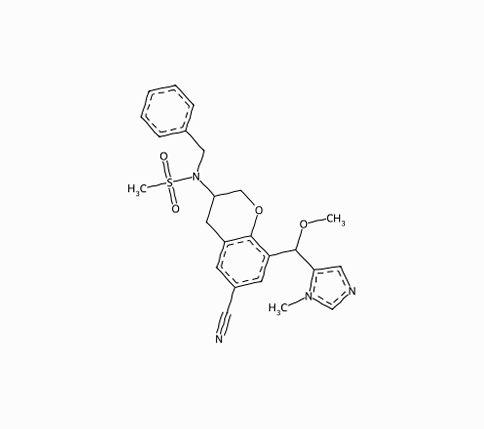 COC(c1cc(C#N)cc2c1OCC(N(Cc1ccccc1)S(C)(=O)=O)C2)c1cncn1C